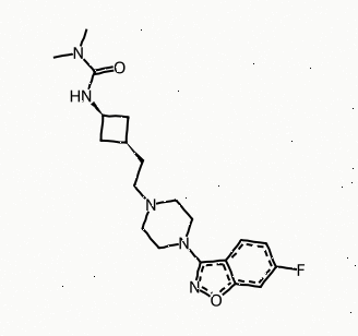 CN(C)C(=O)N[C@H]1C[C@@H](CCN2CCN(c3noc4cc(F)ccc34)CC2)C1